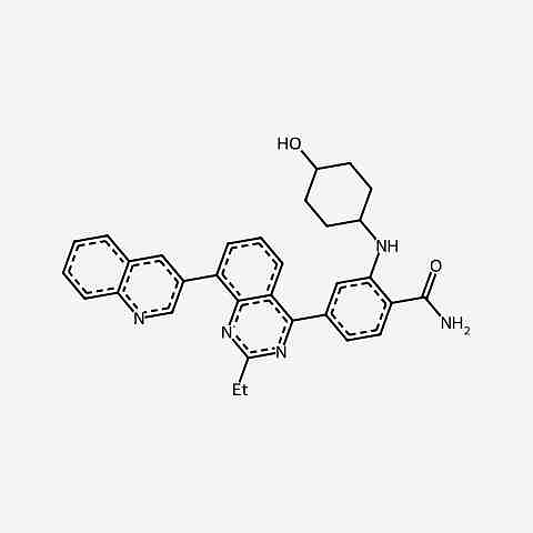 CCc1nc(-c2ccc(C(N)=O)c(NC3CCC(O)CC3)c2)c2cccc(-c3cnc4ccccc4c3)c2n1